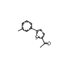 CC(=O)c1ccc(-c2cccc(C)c2)s1